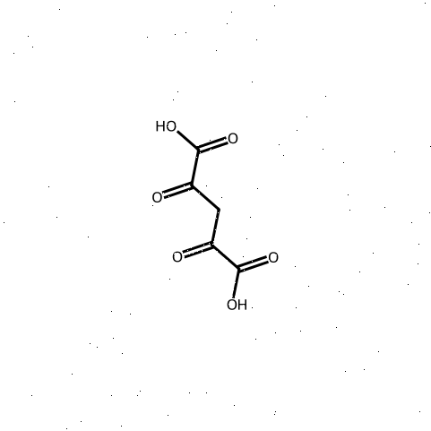 O=C(O)C(=O)CC(=O)C(=O)O